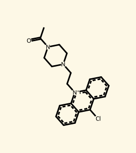 CC(=O)N1CCN(CC[n+]2c3ccccc3c(Cl)c3ccccc32)CC1